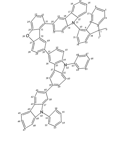 CC1(C)c2ccccc2-c2c(-n3c4ccccc4c4cc(-c5cccc6oc7ccc(-c8ccc9c(c8)c8cc(-c%10ccc%11c%12ccccc%12n(-c%12ccccc%12)c%11c%10)ccc8n9-c8ccccc8)cc7c56)ccc43)cccc21